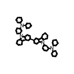 c1ccc(N(c2ccccc2)c2cccc(-n3c4ccccc4c4cc(-c5ccc6c(c5)c5ccccc5n6-c5cccc(N(c6ccccc6)c6ccccc6)c5)ccc43)c2)cc1